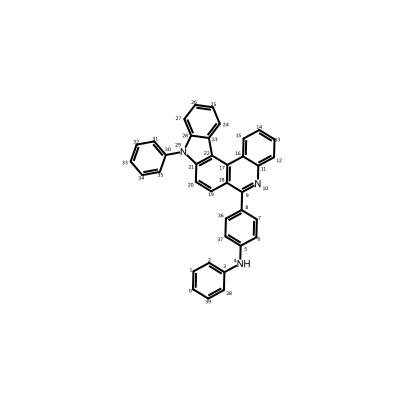 c1ccc(Nc2ccc(-c3nc4ccccc4c4c3ccc3c4c4ccccc4n3-c3ccccc3)cc2)cc1